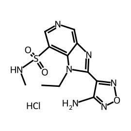 CCn1c(-c2nonc2N)nc2cncc(S(=O)(=O)NC)c21.Cl